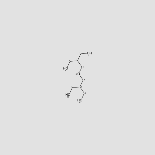 OCC(CO)COCC(CO)CO